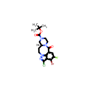 CC(C)(C)OC(=O)N1CCN2C(=O)c3cc(F)c(Br)c4c(Cl)nn(c34)CC[C@H]2C1